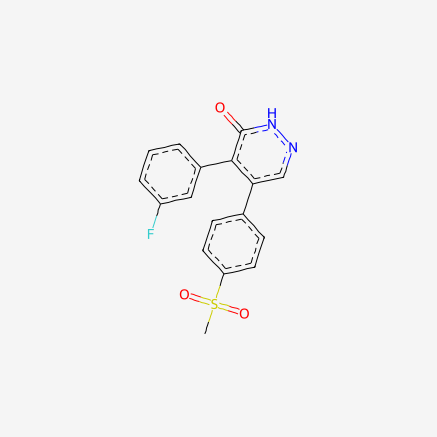 CS(=O)(=O)c1ccc(-c2cn[nH]c(=O)c2-c2cccc(F)c2)cc1